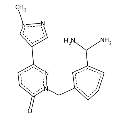 Cn1cc(-c2ccc(=O)n(Cc3cccc(C(N)N)c3)n2)cn1